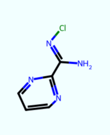 N/C(=N\Cl)c1ncccn1